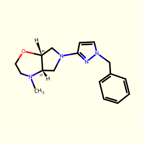 CN1CCO[C@@H]2CN(c3ccn(Cc4ccccc4)n3)C[C@@H]21